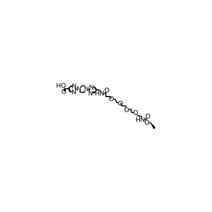 C#CCOC(=O)NCCOCCOCCOCCOCCC(=O)NCc1cnc(N2CCN(c3ncc(C(=O)O)cn3)CC2)nc1